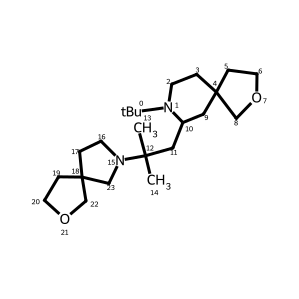 CC(C)(C)N1CCC2(CCOC2)CC1CC(C)(C)N1CCC2(CCOC2)C1